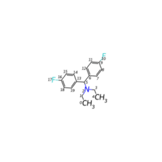 CCN(CC)C(c1ccc(F)cc1)c1ccc(F)cc1